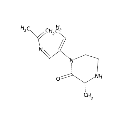 C=C(C)/N=C\C(=C/C)N1CCNC(C)C1=O